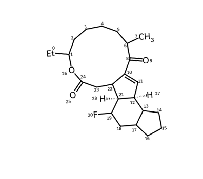 CCC1CCCCC(C)C(=O)C2=C[C@H]3C4CCCC4CC(F)[C@H]3C2CC(=O)O1